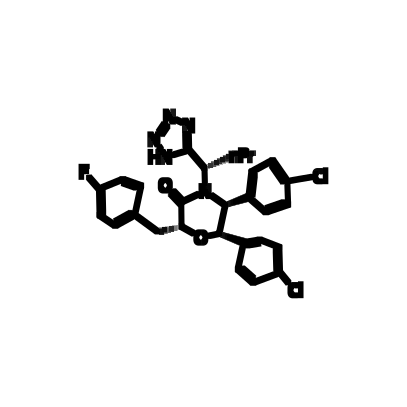 CCC[C@@H](c1nnn[nH]1)N1C(=O)[C@@H](Cc2ccc(F)cc2)O[C@H](c2ccc(Cl)cc2)[C@@H]1c1ccc(Cl)cc1